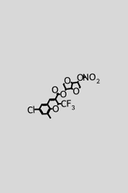 Cc1cc(Cl)cc2c1OC(C(F)(F)F)C(C(=O)OC1COC3C(O[N+](=O)[O-])COC13)=C2